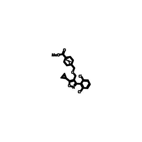 COC(=O)C12CCC(COCc3c(-c4c(Cl)cccc4Cl)noc3C3CC3)(CC1)CC2